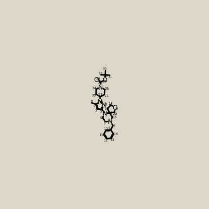 Cc1cc(N2CCN(Cc3ccccc3)CC23CCOC3)nn1C1CCN(C(=O)OC(C)(C)C)CC1